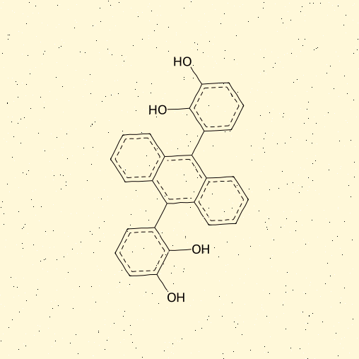 Oc1cccc(-c2c3ccccc3c(-c3cccc(O)c3O)c3ccccc23)c1O